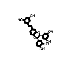 Oc1cc(O)cc(/C=C/c2ccc3c(c2)O[C@H](c2cc(O)cc(O)c2)[C@@H](c2ccc(O)c(O)c2)O3)c1